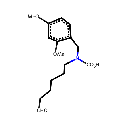 COc1ccc(CN(CCCCCC=O)C(=O)O)c(OC)c1